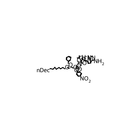 CCCCCCCCCCCCCCCCCCOC[C@H](COP(=O)(OC[C@H]1O[C@@](C#N)(c2ccc3c(N)ncnn23)[C@@H]2OC(C)(C)O[C@@H]21)Oc1ccc([N+](=O)[O-])cc1)OCc1ccccc1